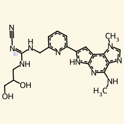 CNc1nc2[nH]c(-c3cccc(CN/C(=N\C#N)NCC(O)CO)n3)cc2c2c1ncn2C